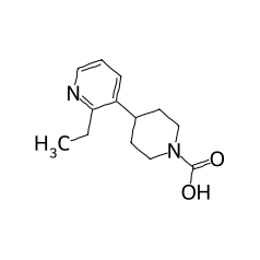 CCc1ncccc1C1CCN(C(=O)O)CC1